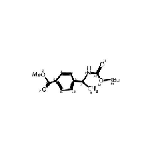 COC(=O)c1ccc(C(C)NC(=O)OC(C)(C)C)cc1